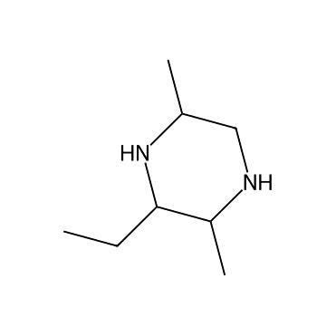 CCC1NC(C)CNC1C